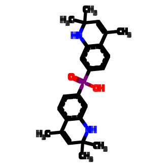 CC1=CC(C)(C)Nc2cc(P(=O)(O)c3ccc4c(c3)NC(C)(C)C=C4C)ccc21